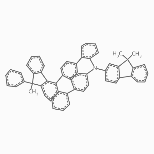 CC1(C)c2ccccc2-c2ccc(N(c3ccc(-c4ccccc4)cc3)c3ccccc3-c3ccc(-c4cccc5c4-c4ccccc4C5(C)c4ccccc4)cc3)cc21